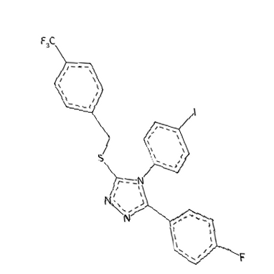 Fc1ccc(-c2nnc(SCc3ccc(C(F)(F)F)cc3)n2-c2ccc(I)cc2)cc1